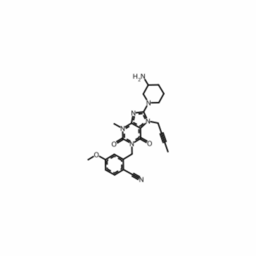 CC#CCn1c(N2CCCC(N)C2)nc2c1c(=O)n(Cc1cc(OC)ccc1C#N)c(=O)n2C